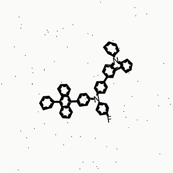 Fc1ccc(N(c2ccc(-c3ccc4c(c3)c3ccccc3n4-c3ccccc3)cc2)c2ccc(-c3c4ccccc4c(-c4ccccc4)c4ccccc34)cc2)cc1